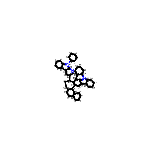 c1ccc(-n2c3ccccc3c3cc(C4CCc5ccc6ccccc6c5-c5cc6c7ccccc7n7c8ccccc8c(c54)c67)cnc32)cc1